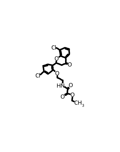 CCOC(=O)C(=O)NCCOc1cc(Cl)ccc1C1CC(=O)c2cccc(Cl)c2O1